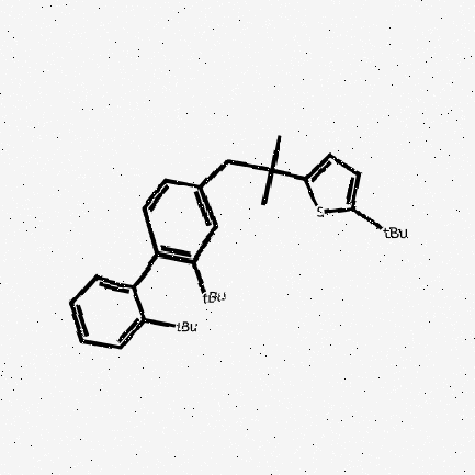 CC(C)(C)c1ccc(C(C)(C)Cc2ccc(-c3ccccc3C(C)(C)C)c(C(C)(C)C)c2)s1